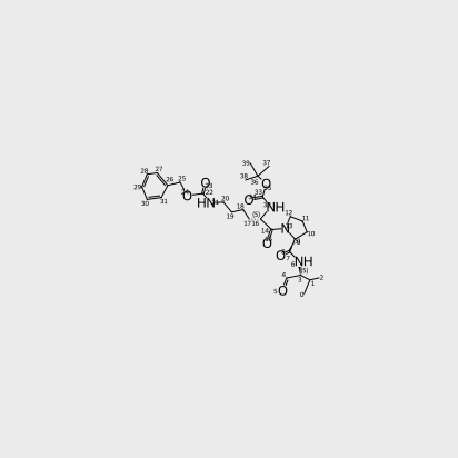 CC(C)[C@@H](C=O)NC(=O)[C@@H]1CCCN1C(=O)[C@H](CCCCNC(=O)OCc1ccccc1)NC(=O)OC(C)(C)C